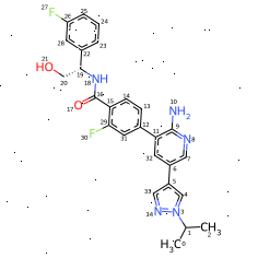 CC(C)n1cc(-c2cnc(N)c(-c3ccc(C(=O)N[C@H](CO)c4cccc(F)c4)c(F)c3)c2)cn1